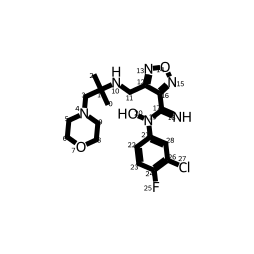 CC(C)(CN1CCOCC1)NCc1nonc1C(=N)N(O)c1ccc(F)c(Cl)c1